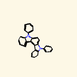 C1=Cc2c(n(-c3ccccc3)c3ccc4c(c5ccccc5n4-c4ccccc4)c23)CC1